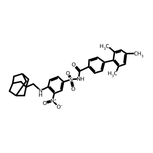 Cc1cc(C)c(-c2ccc(C(=O)NS(=O)(=O)c3ccc(NCC45CC6CC(CC(C6)C4)C5)c([N+](=O)[O-])c3)cc2)c(C)c1